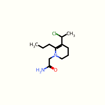 CCCC1=C(C(C)Cl)CCCN1CC(N)=O